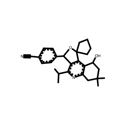 CC(C)c1nc2c(c3c1C(c1ccc(C#N)cc1)OC31CCCC1)C(O)CC(C)(C)C2